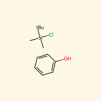 CC(C)(C)[Si](C)(C)Cl.Oc1ccccc1